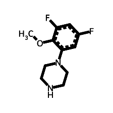 COc1c(F)cc(F)cc1N1CCNCC1